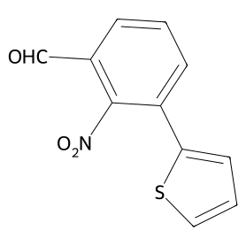 O=Cc1cccc(-c2cccs2)c1[N+](=O)[O-]